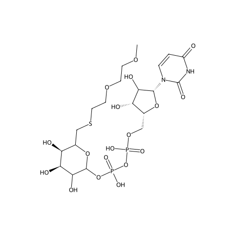 COCCOCCSCC1OC(OP(=O)(O)OP(=O)(O)OC[C@H]2O[C@@H](n3ccc(=O)[nH]c3=O)C(O)[C@H]2O)C(O)[C@@H](O)[C@H]1O